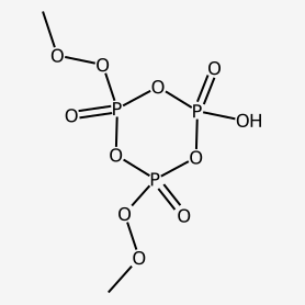 COOP1(=O)OP(=O)(O)OP(=O)(OOC)O1